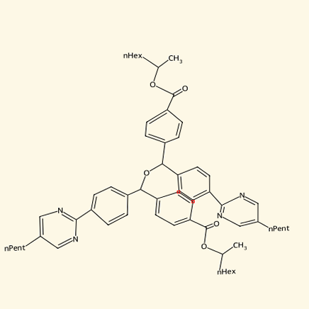 CCCCCCC(C)OC(=O)c1ccc(C(OC(c2ccc(C(=O)OC(C)CCCCCC)cc2)c2ccc(-c3ncc(CCCCC)cn3)cc2)c2ccc(-c3ncc(CCCCC)cn3)cc2)cc1